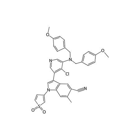 COc1ccc(CN(Cc2ccc(OC)cc2)c2cncc(-c3cn(C4=CS(=O)(=O)C=C4)c4cc(C)c(C#N)cc34)c2Cl)cc1